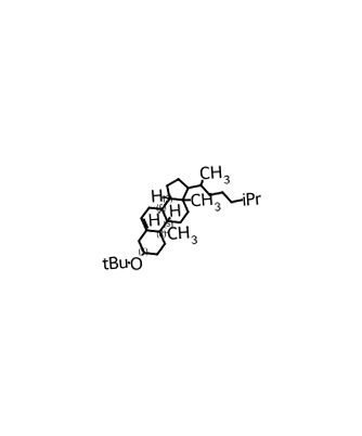 CC(C)CCCC(C)C1CC[C@H]2[C@@H]3CC=C4C[C@@H](OC(C)(C)C)CC[C@]4(C)[C@H]3CCC12C